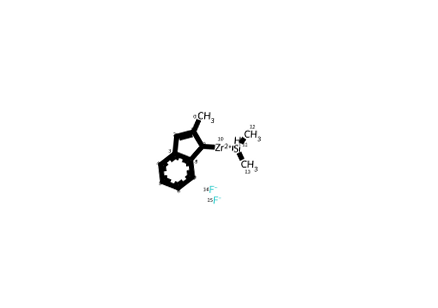 CC1=Cc2ccccc2[CH]1[Zr+2][SiH](C)C.[F-].[F-]